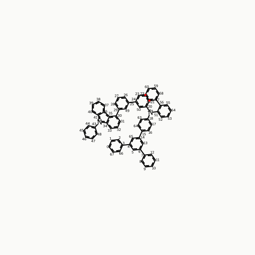 c1ccc(-c2cc(-c3ccccc3)cc(-c3ccc(N(c4cccc(-c5cccc(-c6cccc7c6c6ccccc6n7-c6ccccc6)c5)c4)c4ccccc4-c4ccccc4)cc3)c2)cc1